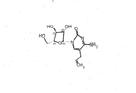 C=CCc1cn([C@@H]2O[C@H](CO)[C@@H](O)[C@@H]2O)c(=O)nc1N